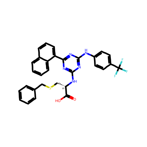 O=C(O)[C@H](CSCc1ccccc1)Nc1nc(Nc2ccc(C(F)(F)F)cc2)nc(-c2cccc3ccccc23)n1